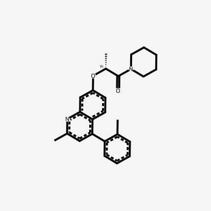 Cc1cc(-c2ccccc2C)c2ccc(O[C@H](C)C(=O)N3CCCCC3)cc2n1